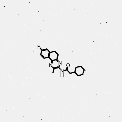 Cc1nc2c(nc1NC(=O)CC1CCCCC1)CCc1cc(F)ccc1-2